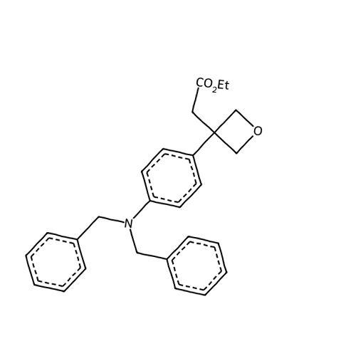 CCOC(=O)CC1(c2ccc(N(Cc3ccccc3)Cc3ccccc3)cc2)COC1